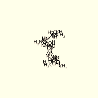 Cc1ccc(S(=O)(=O)NC(CCC(C[C@H]2O[C@@H](n3cnc4c(N)nc(NCCNC(=O)OC(C)(C)C)nc43)[C@H](O)[C@H]2O)N=[N+]=[N-])C(=O)OC(C)(C)C)cc1